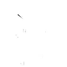 C[C@@H](c1ccccc1)n1ncc(Cl)c(Cl)c1=O